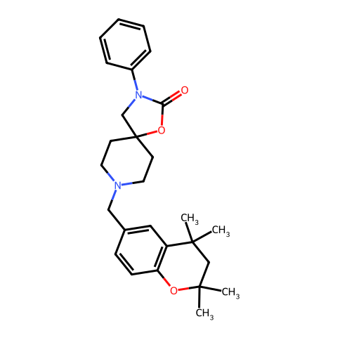 CC1(C)CC(C)(C)c2cc(CN3CCC4(CC3)CN(c3ccccc3)C(=O)O4)ccc2O1